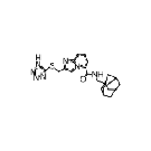 O=C(NCC12CC3CC(CC(C3)C1)C2)c1cccc2nc(CSc3nnn[nH]3)cn12